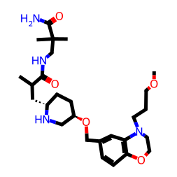 COCCCN1CCOc2ccc(CO[C@@H]3CC[C@@H](CC(C)C(=O)NCC(C)(C)C(N)=O)NC3)cc21